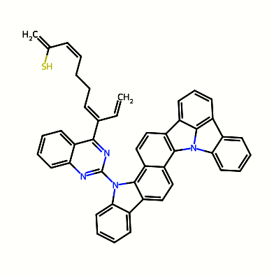 C=C/C(=C\CC/C=C\C(=C)S)c1nc(-n2c3ccccc3c3ccc4c(ccc5c6cccc7c8ccccc8n(c45)c76)c32)nc2ccccc12